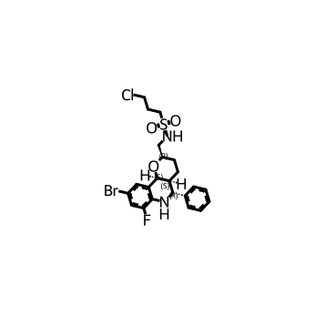 O=S(=O)(CCCCl)NC[C@H]1CC[C@@H]2[C@H](O1)c1cc(Br)cc(F)c1N[C@H]2c1ccccc1